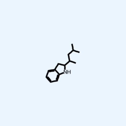 CC(C)CC(C)C1Cc2ccccc2N1